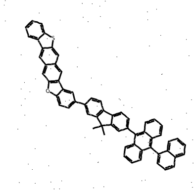 CC1(C)c2cc(-c3ccc4oc5cc6cc7c(cc6cc5c4c3)sc3ccccc37)ccc2-c2ccc(-c3c4ccccc4c(-c4cccc5ccccc45)c4ccccc34)cc21